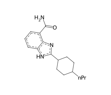 CCCC1CCC(c2nc3c(C(N)=O)cccc3[nH]2)CC1